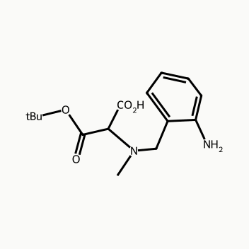 CN(Cc1ccccc1N)C(C(=O)O)C(=O)OC(C)(C)C